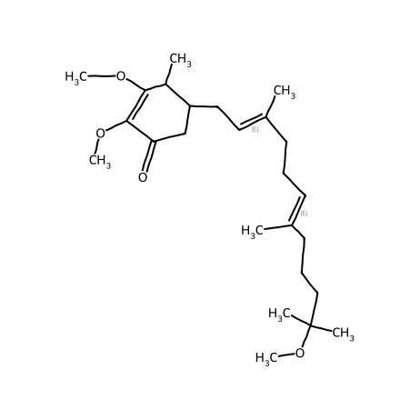 COC1=C(OC)C(C)C(C/C=C(\C)CC/C=C(\C)CCCC(C)(C)OC)CC1=O